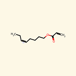 C=CC(=O)OCCCC/C=C\CC